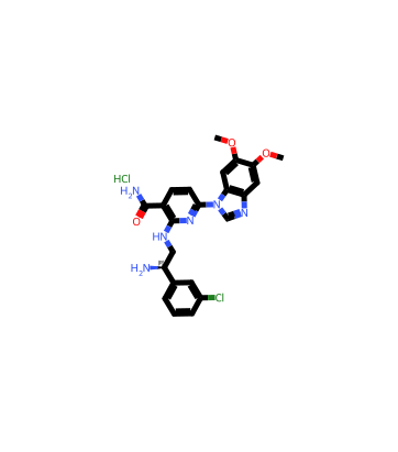 COc1cc2ncn(-c3ccc(C(N)=O)c(NC[C@H](N)c4cccc(Cl)c4)n3)c2cc1OC.Cl